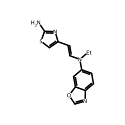 CCN(C=Cc1csc(N)n1)c1ccc2ncoc2c1